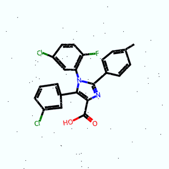 Cc1ccc(-c2nc(C(=O)O)c(-c3cccc(Cl)c3)n2-c2cc(Cl)ccc2F)cc1